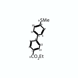 CCOC(=O)c1ccc(-c2ccc(SC)cc2)cc1